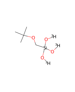 [3H]O[Si](COC(C)(C)C)(O[3H])O[3H]